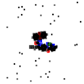 Cc1ccc(C(=O)Nc2ccc(C[C@H](NC(=O)Nc3ccccc3S(=O)(=O)c3ccccc3)C(=O)O)cc2)c(Cl)n1